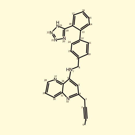 CC#CCc1cc(NCc2ccc(-c3ccccc3-c3nnn[nH]3)cc2)c2ncccc2n1